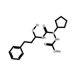 COC(=O)NN(C(=O)NC(CCc1ccccc1)SC(C)=O)C1CCCC1